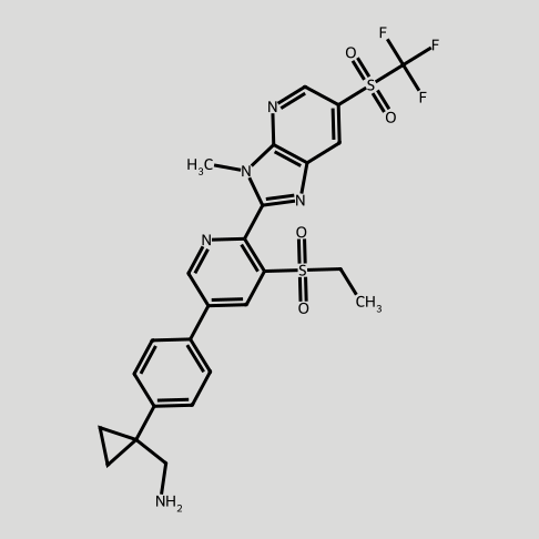 CCS(=O)(=O)c1cc(-c2ccc(C3(CN)CC3)cc2)cnc1-c1nc2cc(S(=O)(=O)C(F)(F)F)cnc2n1C